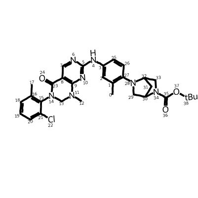 Cc1cc(Nc2ncc3c(n2)N(C)CN(c2c(C)cccc2Cl)C3=O)ccc1N1CC2CC1CN2C(=O)OC(C)(C)C